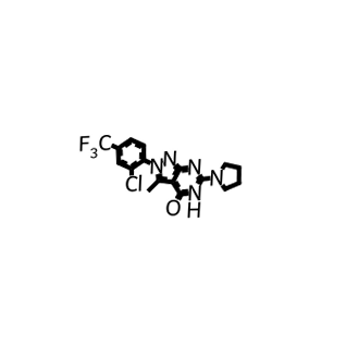 Cc1c2c(=O)[nH]c(N3CCCC3)nc2nn1-c1ccc(C(F)(F)F)cc1Cl